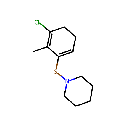 CC1=C(Cl)CCC=C1SN1CCCCC1